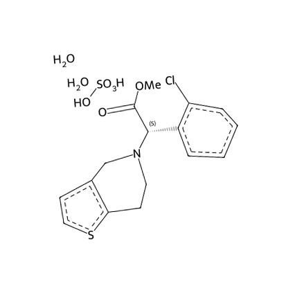 COC(=O)[C@H](c1ccccc1Cl)N1CCc2sccc2C1.O.O.O=S(=O)(O)O